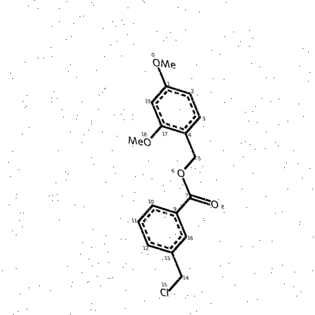 COc1ccc(COC(=O)c2cccc(CCl)c2)c(OC)c1